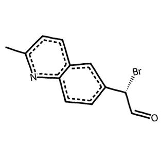 Cc1ccc2cc([C@H](Br)C=O)ccc2n1